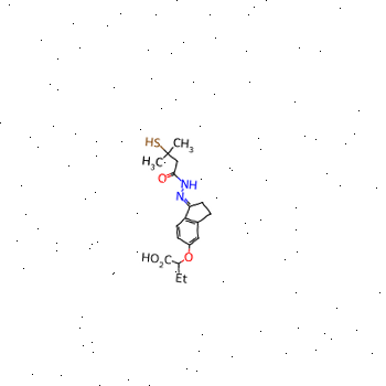 CCC(Oc1ccc2c(c1)CCC2=NNC(=O)CC(C)(C)S)C(=O)O